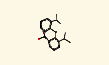 CC(C)c1cccc(C(C)C)c1[C]c1c(C(C)C)cccc1C(C)C